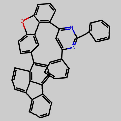 c1ccc(-c2cc(-c3cccc4oc5ccc(-c6ccc7c8c(cccc68)-c6ccccc6-7)cc5c34)nc(-c3ccccc3)n2)cc1